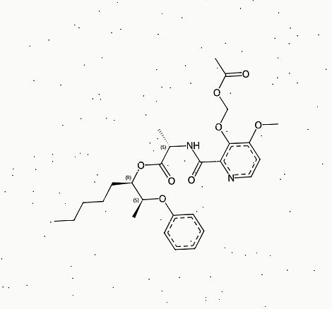 CCCCC[C@@H](OC(=O)[C@H](C)NC(=O)c1nccc(OC)c1OCOC(C)=O)[C@H](C)Oc1ccccc1